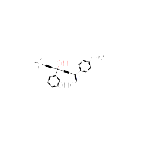 COc1ccc(/C(C#CC(O)(C#C[Si](C)(C)C)c2ccccc2)=C/C=O)cc1